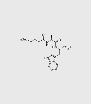 CCCCCCCCCCCCCC(=O)N[C@@H](C)C(=O)N[C@@H](Cc1c[nH]c2ccccc12)C(=O)O